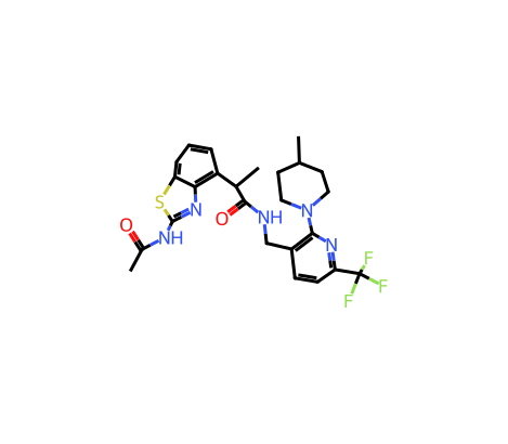 CC(=O)Nc1nc2c(C(C)C(=O)NCc3ccc(C(F)(F)F)nc3N3CCC(C)CC3)cccc2s1